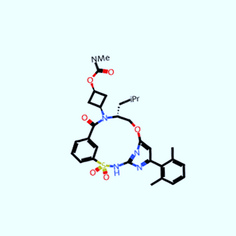 CNC(=O)O[C@H]1C[C@@H](N2C(=O)c3cccc(c3)S(=O)(=O)Nc3nc(cc(-c4c(C)cccc4C)n3)OC[C@H]2CC(C)C)C1